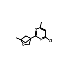 Cc1cc(Cl)nc(C23COC(C)(C2)C3)n1